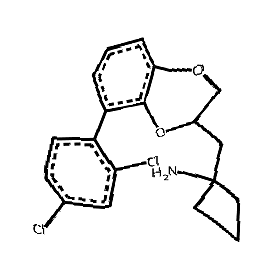 NC1(CC2COc3cccc(-c4ccc(Cl)cc4Cl)c3O2)CCC1